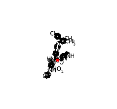 Cn1c(=O)c2nc3[nH]ccc3cc2n1-c1cc(N2CCN(CC3=C(c4ccc(Cl)cc4)CC(C)(C)CC3)CC2)ccc1C(=O)NS(=O)(=O)c1ccc(NC[C@H]2COCCO2)c([N+](=O)[O-])c1